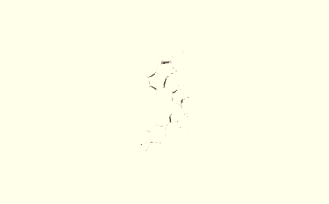 Cc1nc2cccc(-c3nnc(N[C@H](C)C(=O)N4CCC5(CC4)CC5)o3)c2[nH]1